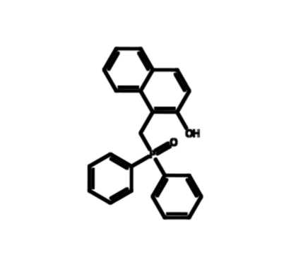 O=P(Cc1c(O)ccc2ccccc12)(c1ccccc1)c1ccccc1